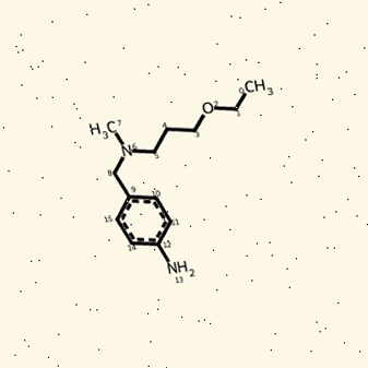 CCOCCCN(C)Cc1ccc(N)cc1